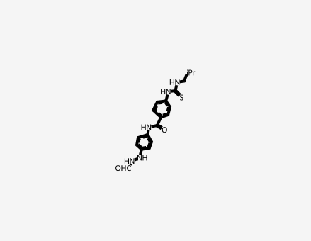 CC(C)CNC(=S)Nc1ccc(C(=O)Nc2ccc(NNC=O)cc2)cc1